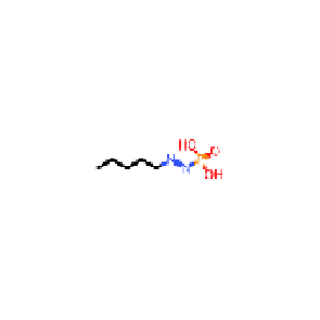 CCCCCN=NP(=O)(O)O